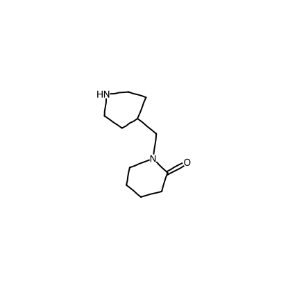 O=C1CCCCN1CC1CCNCC1